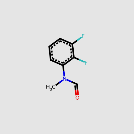 CN(C=O)c1cccc(F)c1F